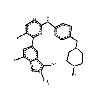 CCN1CCN(Cc2ccc(Nc3ncc(F)c(-c4cc(F)c5nn(C)c(C(C)C)c5c4)n3)nc2)CC1